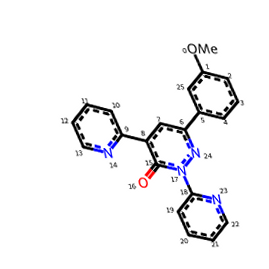 COc1cccc(-c2cc(-c3ccccn3)c(=O)n(-c3ccccn3)n2)c1